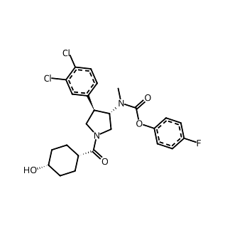 CN(C(=O)Oc1ccc(F)cc1)[C@@H]1CN(C(=O)[C@H]2CC[C@@H](O)CC2)C[C@H]1c1ccc(Cl)c(Cl)c1